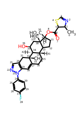 CC1N=CSC1C(=O)O[C@]1(C(=O)O)CC[C@H]2[C@@H]3CCC4=Cc5c(cnn5-c5ccc(F)cc5)C[C@]4(C)[C@H]3[C@@H](O)C[C@@]21C